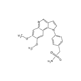 COc1cc2ncc3ccn(-c4ccc(CS(N)(=O)=O)cc4)c3c2cc1OC